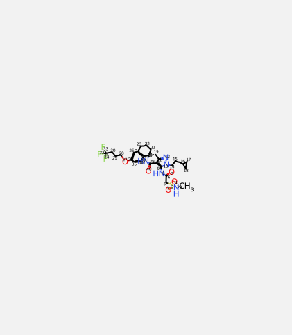 CNS(=O)(=O)CC(=O)Nc1c2c(nn1CCC1CC1)C[C@]1(CCCc3cc(OCCCC(F)(F)F)ccc31)NC2=O